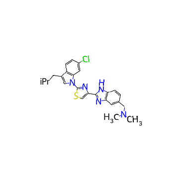 CC(C)Cc1cn(-c2nc(-c3nc4cc(CN(C)C)ccc4[nH]3)cs2)c2cc(Cl)ccc12